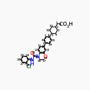 O=C(O)CC1CCC(c2ccc(-c3ccc4c(c3)OCCN4C(=O)Nc3ccccc3Cl)cc2)CC1